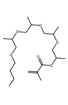 C=C(C)C(=O)OC(C)COC(C)COC(C)COC(C)COCCCC